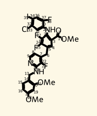 COC(=O)c1cc(Cc2ccnc(NCc3ccc(OC)cc3OC)c2F)c(F)c(F)c1Nc1cc(Cl)c(I)cc1F